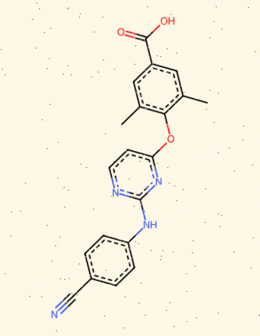 Cc1cc(C(=O)O)cc(C)c1Oc1ccnc(Nc2ccc(C#N)cc2)n1